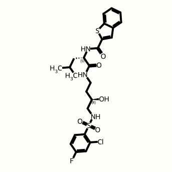 CC(C)C[C@H](NC(=O)c1cc2ccccc2s1)C(=O)NCC[C@@H](O)CNS(=O)(=O)c1ccc(F)cc1Cl